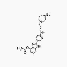 CCN1CCCN(CCCN(C)c2ccc(-c3nc4c(OC(N)=O)cccc4[nH]3)cn2)CC1